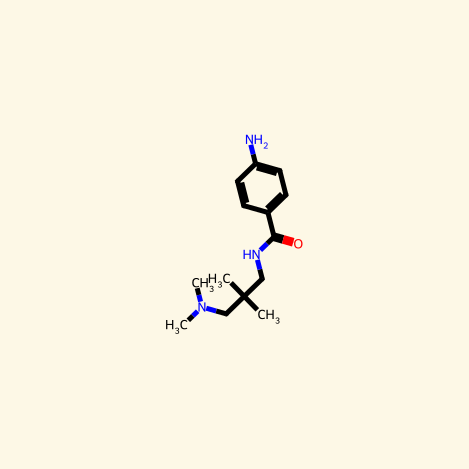 CN(C)CC(C)(C)CNC(=O)c1ccc(N)cc1